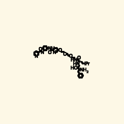 CC(C)CC[C@H](NC[C@@H](O)[C@H](N)Cc1ccccc1)C(=O)NCCOCCOCCOc1ccc(C(=O)Nc2ccc3oc(-c4cccnc4)nc3c2)nc1